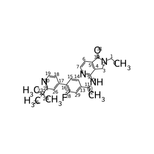 CCN1Cc2c(ccnc2N[C@@H](C)c2ccc(-c3ccnc(C(C)(C)C)c3)c(F)c2)C1=O